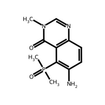 Cn1cnc2ccc(N)c(P(C)(C)=O)c2c1=O